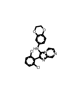 Clc1cccc(Cl)c1-c1nc2cnccn2c1Nc1ccc2c(c1)OCCO2